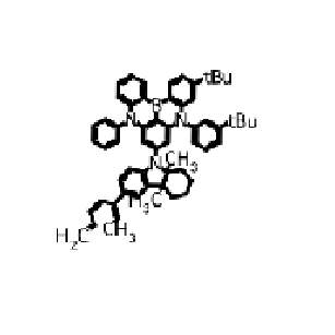 C=C/C=C\C(=C/C)c1ccc2c(c1)C1(C)CCCCC1(C)N2c1cc2c3c(c1)N(c1cccc(C(C)(C)C)c1)c1cc(C(C)(C)C)ccc1B3c1ccccc1N2c1ccccc1